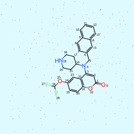 O=c1cc(N(Cc2ccc3ccccc3c2)C2CCNCC2)c2cc(OC(F)F)ccc2o1